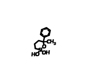 CC1(c2ccccc2)CCC[Si](O)(O)O1